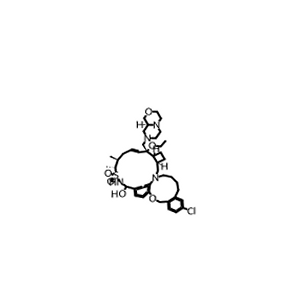 CCO[C@@]1(CN2CCN3CCOC[C@@H]3C2)/C=C/C[C@H](C)[C@@H](C)S(=O)(=O)NC(O)c2ccc3c(c2)N(CCCCc2cc(Cl)ccc2CO3)C[C@@H]2CC[C@H]21